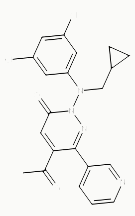 CC(=O)c1cc(=O)n(N(CC2CC2)c2cc(Cl)cc(Cl)c2)nc1-c1cccnc1